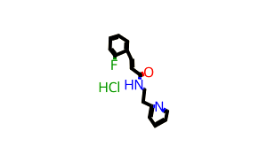 Cl.O=C(/C=C/c1ccccc1F)NCCc1ccccn1